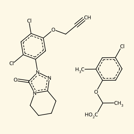 C#CCOc1cc(-n2nc3n(c2=O)CCCC3)c(Cl)cc1Cl.Cc1cc(Cl)ccc1OC(C)C(=O)O